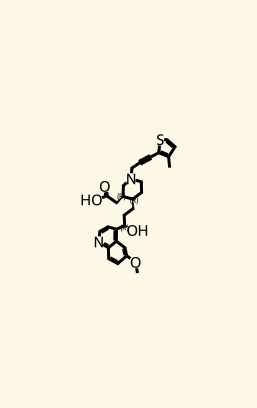 COc1ccc2nccc([C@H](O)CC[C@@H]3CCN(CC#Cc4sccc4C)C[C@@H]3CC(=O)O)c2c1